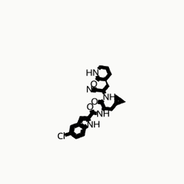 N#CC(C[C@@H]1CCCNC1=O)NC(=O)C(CC1CC1)NC(=O)c1cc2cc(Cl)ccc2[nH]1